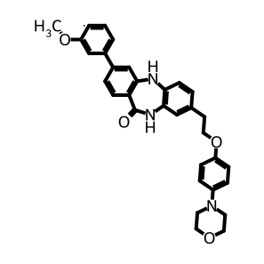 COc1[c]ccc(-c2ccc3c(c2)Nc2ccc(CCOc4ccc(N5CCOCC5)cc4)cc2NC3=O)c1